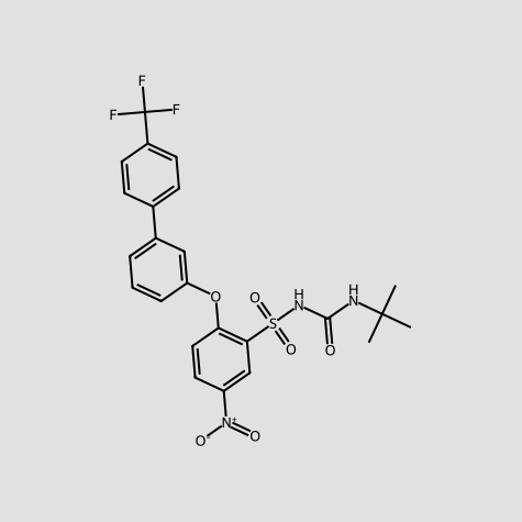 CC(C)(C)NC(=O)NS(=O)(=O)c1cc([N+](=O)[O-])ccc1Oc1cccc(-c2ccc(C(F)(F)F)cc2)c1